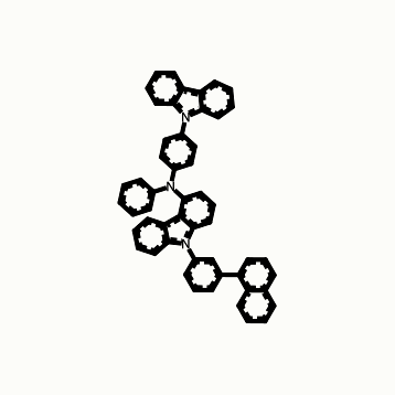 c1ccc(N(c2ccc(-n3c4ccccc4c4ccccc43)cc2)c2cccc3c2c2ccccc2n3-c2cccc(-c3cccc4ccccc34)c2)cc1